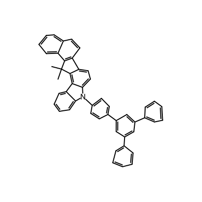 CC1(C)c2c(ccc3ccccc23)-c2ccc3c(c21)c1ccccc1n3-c1ccc(-c2cc(-c3ccccc3)cc(-c3ccccc3)c2)cc1